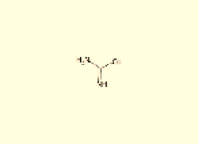 N=[C](N)[Co]